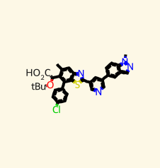 Cc1cc2nc(-c3cncc(-c4ccc5c(cnn5C)c4)c3)sc2c(-c2ccc(Cl)cc2)c1C(OC(C)(C)C)C(=O)O